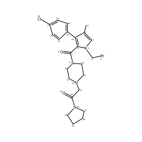 Cc1cn(CC(C)C)c(C(=O)N2CCN(CC(=O)N3CCCC3)CC2)c1-c1ccc(Cl)cc1